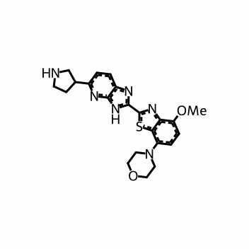 COc1ccc(N2CCOCC2)c2sc(-c3nc4ccc(C5CCNC5)nc4[nH]3)nc12